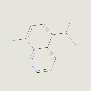 CC(N)c1ccc(Cl)c2ncccc12